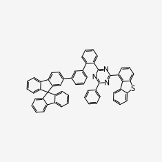 c1ccc(-c2nc(-c3ccccc3-c3cccc(-c4ccc5c(c4)C4(c6ccccc6-c6ccccc64)c4ccccc4-5)c3)nc(-c3cccc4sc5ccccc5c34)n2)cc1